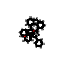 c1ccc(-c2nc(-c3ccccc3)nc(-c3cccc4sc5cccc(-c6ccc7ccccc7n6)c5c34)n2)cc1